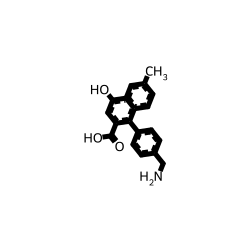 Cc1ccc2c(-c3ccc(CN)cc3)c(C(=O)O)cc(O)c2c1